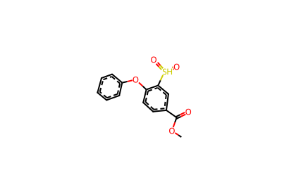 COC(=O)c1ccc(Oc2ccccc2)c([SH](=O)=O)c1